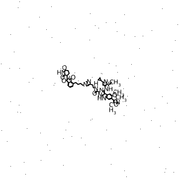 CCn1nc(C2CC2)cc1Nc1nc(C(=O)NCCc2cn(CCCCc3cccc4c3C(=O)N(C3CCC(=O)NC3=O)C4=O)cn2)nc2[nH]c3cc(-c4c(C)noc4C)c(OC)cc3c12